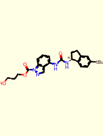 CC(C)(C)c1ccc2c(c1)CC[C@H]2NC(=O)Nc1cccc2c1cnn2C(=O)OCCCO